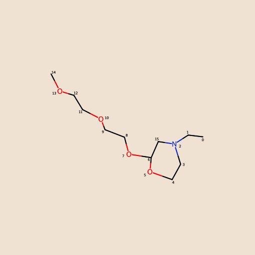 CCN1CCOC(OCCOCCOC)C1